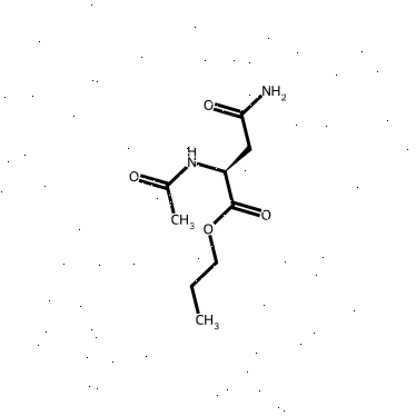 CCCOC(=O)[C@H](CC(N)=O)NC(C)=O